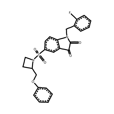 O=C1C(=O)N(Cc2ccccc2F)c2ccc(S(=O)(=O)N3CCC3COc3ccccc3)cc21